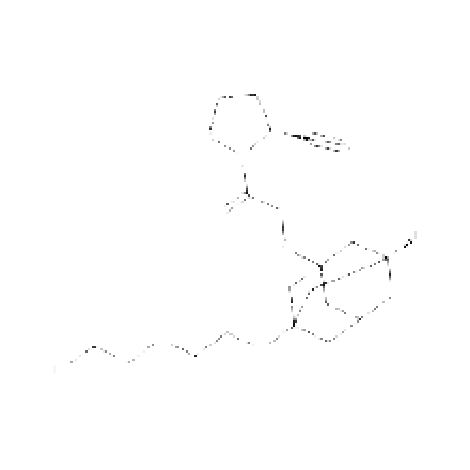 N#C[C@@H]1CCCN1C(=O)CNC12CC3C[C@@H](C1)CC(OCCOCCO)(C3)C2